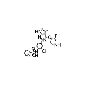 Cc1n[nH]c2nc(-c3ccc(NS(=O)(=O)c4ccccn4)c(Cl)c3)nc(O[C@@H]3CCNC[C@@H]3F)c12